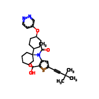 CC(=O)N(c1cc(C#CC(C)(C)C)sc1C(=O)O)C1(C2CCC(Oc3ccnnc3)CC2)CCCCC1